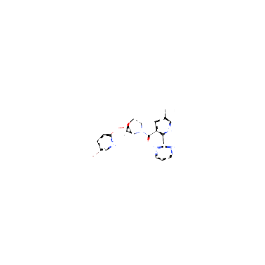 Cc1cnc(-c2ncccn2)c(C(=O)N2C[C@@H]3CC[C@H]2[C@H](Oc2ccc(Br)cn2)C3)c1